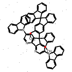 CCc1ccccc1C1(c2cc3c(cc2CC)C2(c4ccccc4-c4ccccc42)c2ccccc2-3)c2cc(-n3c4ccccc4c4ccccc43)cnc2-c2ncc(-n3c4ccccc4c4ccccc43)cc21